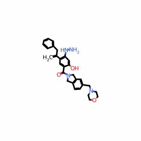 C=C(Cc1ccccc1)c1cc(C(=O)N2Cc3ccc(CN4CCOCC4)cc3C2)c(O)cc1NN